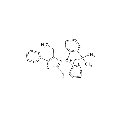 CCc1nc(Nc2cccnc2Oc2ccccc2C(C)(C)C)sc1-c1ccccc1